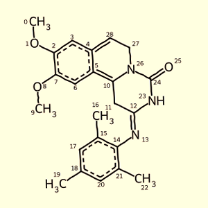 COc1cc2c(cc1OC)=C1CC(=Nc3c(C)cc(C)cc3C)NC(=O)N1CC=2